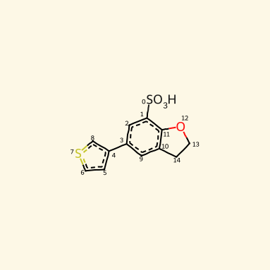 O=S(=O)(O)c1cc(-c2ccsc2)cc2c1OCC2